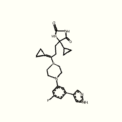 O=C1NC(=O)C(CCC(=C2CC2)N2CCN(c3cc(F)cc(-c4cn[nH]c4)c3)CC2)(C2CC2)N1